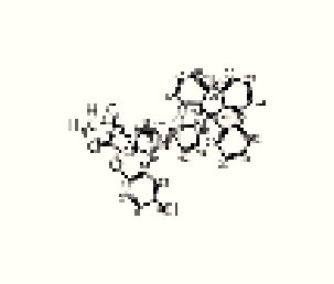 CC(C)(C)C(=O)C(Oc1ccc(Cl)cc1)n1ccnc1.Clc1ccccc1C(c1ccccc1)(c1ccccc1)n1ccnc1